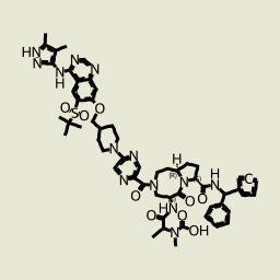 Cc1[nH]nc(Nc2ncnc3cc(OCC4CCN(c5cnc(C(=O)N6CC[C@H]7CC[C@@H](C(=O)NC(c8ccccc8)c8ccccc8)N7C(=O)[C@@H](NC(=O)C(C)N(C)C(=O)O)C6)cn5)CC4)c(S(=O)(=O)C(C)(C)C)cc23)c1C